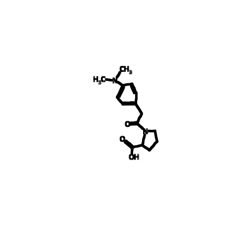 CN(C)c1ccc(CC(=O)N2CCCC2C(=O)O)cc1